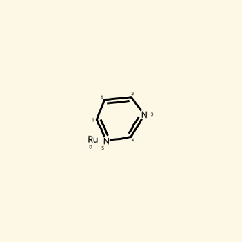 [Ru].c1cncnc1